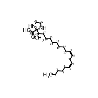 CCCCC/C=C\C/C=C\CCCCCCCCC(C)C1(C(=O)O)NCCN1